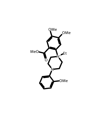 CC[N+]1(c2cc(OC)c(OC)cc2C(=O)OC)CCN(c2ccccc2OC)CC1